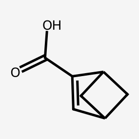 O=C(O)C1=CC2CC1C2